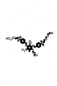 Cc1c(N)c(/N=N/c2ccc(S(=O)(=O)CCOS(=O)(=O)O)cc2)c(N)c(/N=N/c2ccc(S(=O)(=O)CCOSOOO)cc2)c1SOOO